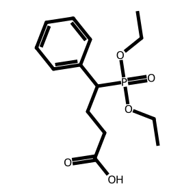 CCOP(=O)(OCC)C(CCC(=O)O)c1ccccc1